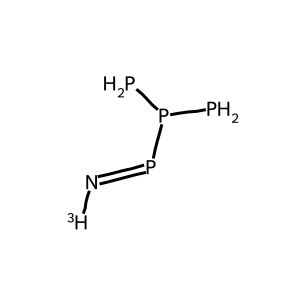 [3H]/N=P/P(P)P